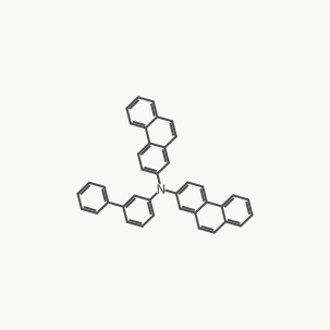 c1ccc(-c2cccc(N(c3ccc4c(ccc5ccccc54)c3)c3ccc4c(ccc5ccccc54)c3)c2)cc1